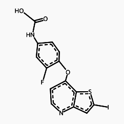 O=C(O)Nc1ccc(Oc2ccnc3cc(I)sc23)c(F)c1